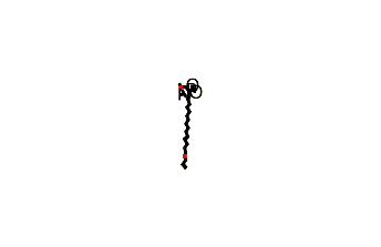 C=CCCCCCC=CCCCCCCCCCCC(CCC)(P(=O)=O)[N+](C)(C)C